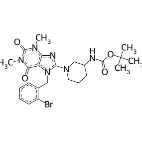 Cn1c(=O)c2c(nc(N3CCCC(NC(=O)OC(C)(C)C)C3)n2Cc2ccccc2Br)n(C)c1=O